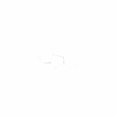 C=CC1C/C(=C/F)CN1C